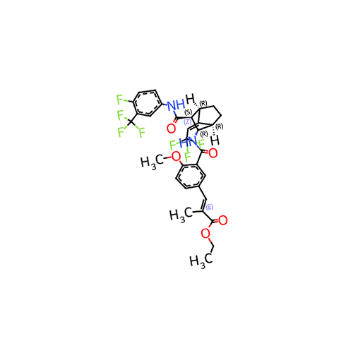 CCOC(=O)/C(C)=C/c1ccc(OC)c(C(=O)N[C@H]2[C@@H](C(=O)Nc3ccc(F)c(C(F)(F)F)c3)[C@H]3CC[C@@H]2/C3=C\C(F)(F)F)c1